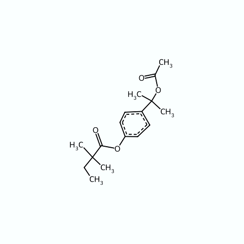 CCC(C)(C)C(=O)Oc1ccc(C(C)(C)OC(C)=O)cc1